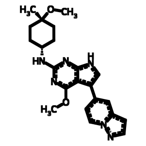 COc1nc(N[C@H]2CC[C@@](C)(OC)CC2)nc2[nH]cc(-c3ccn4nccc4c3)c12